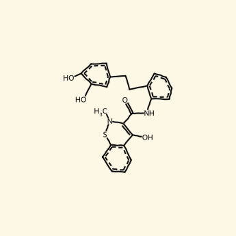 CN1Sc2ccccc2C(O)=C1C(=O)Nc1ccccc1CCc1ccc(O)c(O)c1